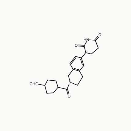 O=CC1CCC(C(=O)N2CCc3cc(C4CCC(=O)NC4=O)ccc3C2)CC1